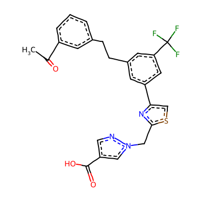 CC(=O)c1cccc(CCc2cc(-c3csc(Cn4cc(C(=O)O)cn4)n3)cc(C(F)(F)F)c2)c1